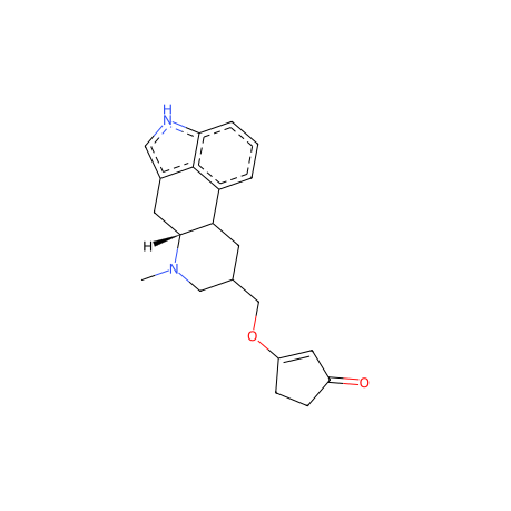 CN1CC(COC2=CC(=O)CC2)CC2c3cccc4[nH]cc(c34)C[C@H]21